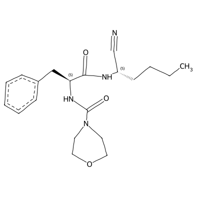 CCCC[C@@H](C#N)NC(=O)[C@H](Cc1ccccc1)NC(=O)N1CCOCC1